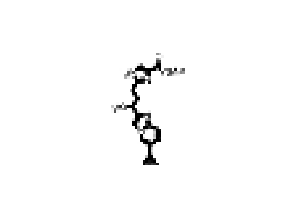 COC(=O)c1c[nH]c(CCC(O)c2cn3cc(C4CC4)ccc3n2)n1